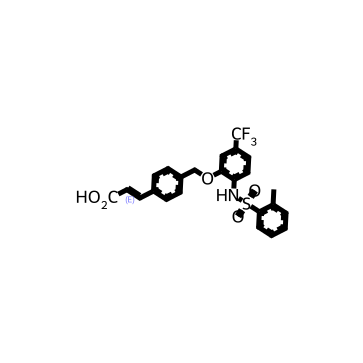 Cc1ccccc1S(=O)(=O)Nc1ccc(C(F)(F)F)cc1OCc1ccc(/C=C/C(=O)O)cc1